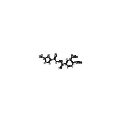 COc1ccc(C(=O)NCC(=O)c2ccc(Br)o2)cc1OC